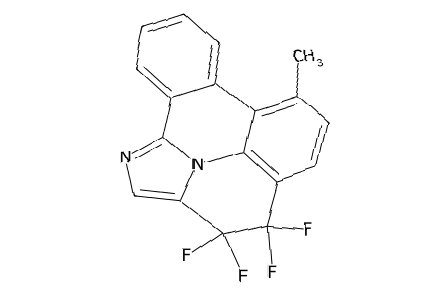 Cc1ccc2c3c1c1ccccc1c1ncc(n13)C(F)(F)C2(F)F